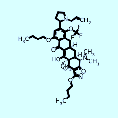 C=CCN1CCCC1c1cc(OCCCC)c2c(c1OC(F)(F)F)C[C@H]1C[C@H]3[C@H](N(C)C)c4onc(OCCCC)c4C(=O)[C@@]3(CC)C(O)=C1C2=O